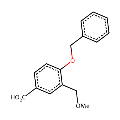 COCc1cc(C(=O)O)ccc1OCc1ccccc1